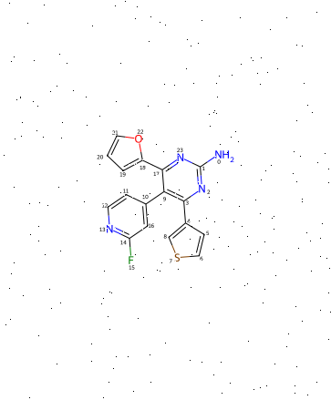 Nc1nc(-c2ccsc2)c(-c2ccnc(F)c2)c(-c2ccco2)n1